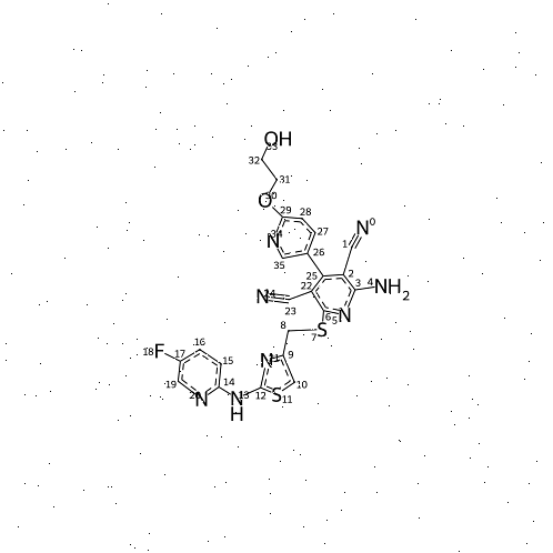 N#Cc1c(N)nc(SCc2csc(Nc3ccc(F)cn3)n2)c(C#N)c1-c1ccc(OCCO)nc1